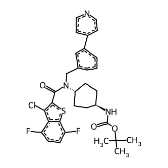 CC(C)(C)OC(=O)N[C@H]1CC[C@H](N(Cc2cccc(-c3ccncc3)c2)C(=O)c2sc3c(F)ccc(F)c3c2Cl)CC1